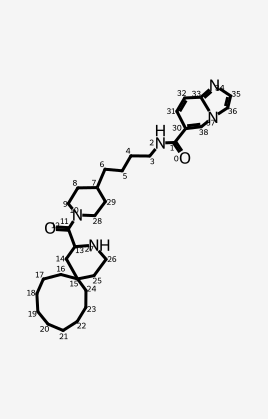 O=C(NCCCCC1CCN(C(=O)C2CC3(CCCCCCCCC3)CCN2)CC1)c1ccc2nccn2c1